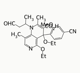 CCOc1ncc(C)c2c1C(OCC)(c1ccc(C#N)cc1OC)C(C(=O)O)=C(C)N2C(C)CC=O